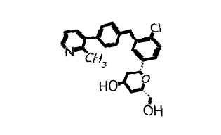 Cc1ncccc1-c1ccc(Cc2cc([C@H]3CC(O)C[C@@H](CO)O3)ccc2Cl)cc1